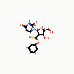 O=c1ccn([C@H]2O[C@@H](CO)C(O)C2C(=S)Oc2ccccc2)c(=O)[nH]1